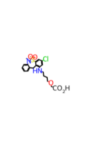 CN1c2ccccc2Cc2c(NCCCCOCC(=O)O)cc(Cl)cc2S1(=O)=O